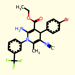 [C-]#[N+]C1=C(C)N(c2cccc(C(F)(F)F)c2)C(N)=C(C(=O)OCC)C1c1ccc(Br)cc1